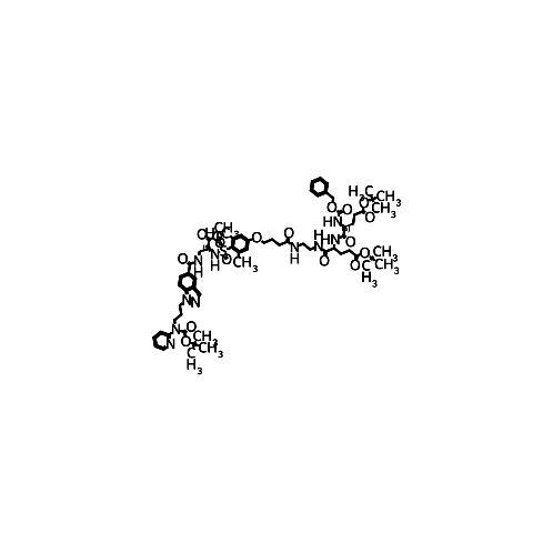 COC(=O)[C@H](CNC(=O)c1ccc2c(cnn2CCCN(C(=O)OC(C)(C)C)c2ccccn2)c1)NS(=O)(=O)c1c(C)cc(OCCCC(=O)NCCNC(=O)C(CCC(=O)OC(C)(C)C)NC(=O)[C@H](CCC(=O)OC(C)(C)C)NC(=O)OCc2ccccc2)cc1C